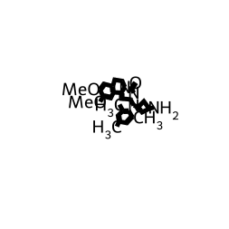 COc1cc2c(cc1OC)-c1cc(N(c3c(C)cc(C)cc3C)C3CC(N)C3)nc(=O)n1CC2